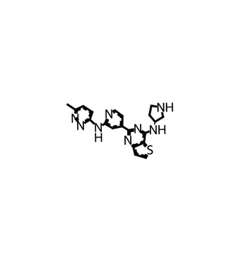 Cc1ccc(Nc2cc(-c3nc(N[C@@H]4CCNC4)c4sccc4n3)ccn2)nn1